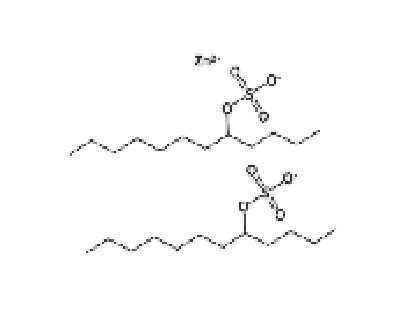 CCCCCCCC(CCCC)OS(=O)(=O)[O-].CCCCCCCC(CCCC)OS(=O)(=O)[O-].[Zn+2]